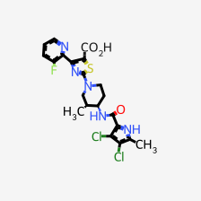 Cc1[nH]c(C(=O)N[C@@H]2CCN(c3nc(-c4ncccc4F)c(C(=O)O)s3)C[C@@H]2C)c(Cl)c1Cl